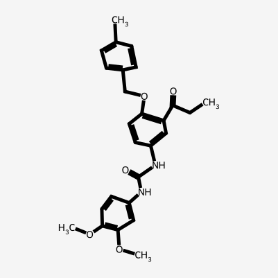 CCC(=O)c1cc(NC(=O)Nc2ccc(OC)c(OC)c2)ccc1OCc1ccc(C)cc1